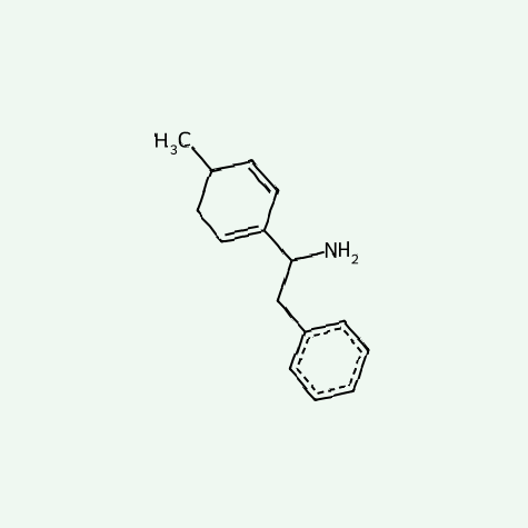 CC1C=CC(C(N)Cc2ccccc2)=CC1